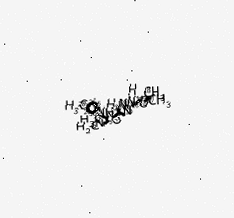 C=N/C=C\C(NC(=O)c1cnc(NCCOC(C)C)nc1)=C(/C)Nc1ccc(C)cc1